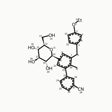 CCOc1ccc(Cc2cc([C@@H]3O[C@H](CO)[C@@H](O)[C@H](O)[C@H]3O)cc(-c3cccc(C#N)c3)c2C)cc1